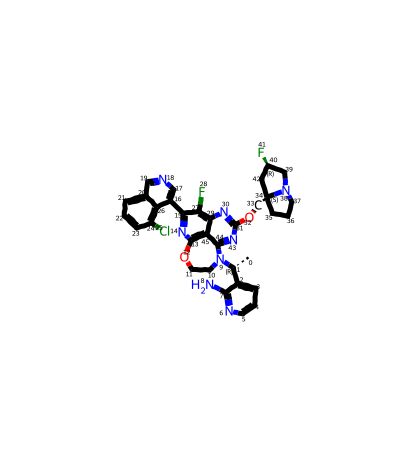 C[C@H](c1cccnc1N)N1CCOc2nc(-c3cncc4cccc(Cl)c34)c(F)c3nc(OC[C@@]45CCCN4C[C@H](F)C5)nc1c23